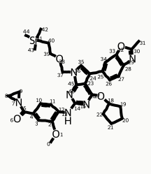 COc1cc(C(=O)N2CC2)ccc1Nc1nc(OC2CCCC2)c2c(-c3ccc4nc(C)oc4c3)cn(COCC[Si](C)(C)C)c2n1